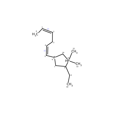 C/C=C\C/C=C\P1CC(CC)[PH](C)(C)C1